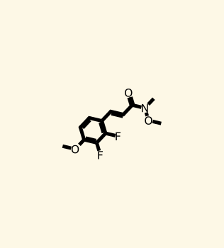 COc1ccc(C=CC(=O)N(C)OC)c(F)c1F